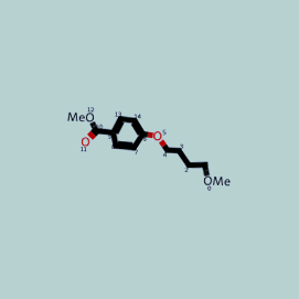 COCCCCOc1ccc(C(=O)OC)cc1